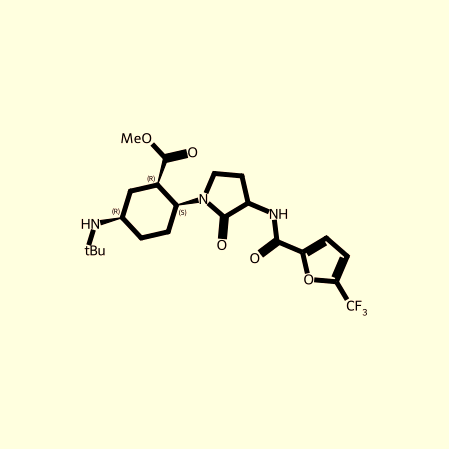 COC(=O)[C@@H]1C[C@H](NC(C)(C)C)CC[C@@H]1N1CCC(NC(=O)c2ccc(C(F)(F)F)o2)C1=O